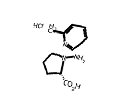 Cc1ccccn1.Cl.NN1CCC[C@H]1C(=O)O